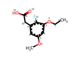 CCOc1cc(OC)cc(CC(=O)O)c1F